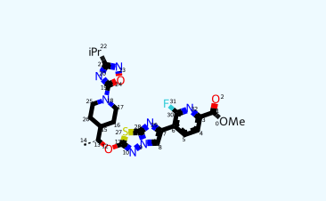 COC(=O)c1ccc(-c2cn3nc(O[C@H](C)C4CCN(c5nc(C(C)C)no5)CC4)sc3n2)c(F)n1